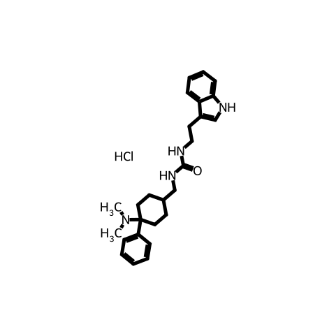 CN(C)C1(c2ccccc2)CCC(CNC(=O)NCCc2c[nH]c3ccccc23)CC1.Cl